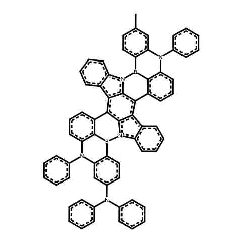 Cc1ccc2c(c1)N(c1ccccc1)c1cccc3c1B2n1c2ccccc2c2c4c5c(c-3c21)c1ccccc1n5B1c2ccc(N(c3ccccc3)c3ccccc3)cc2N(c2ccccc2)c2cccc-4c21